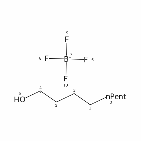 CCCCCCCC[CH]O.F[B-](F)(F)F